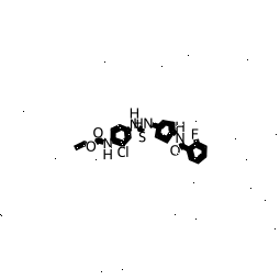 CCOC(=O)Nc1ccc(NC(=S)Nc2ccc(NC(=O)c3ccccc3F)cc2)cc1Cl